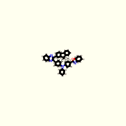 CC1(C)c2ccccc2-c2ccc(-c3nc4ccccc4nc3-c3ccc(N(c4ccccc4)c4ccc(-c5nc6ccccc6o5)cc4)cc3)cc21